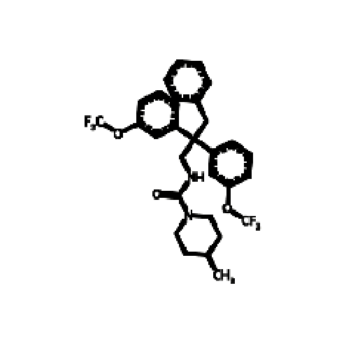 CC1CCN(C(=O)NCC(Cc2ccccc2)(c2cccc(OC(F)(F)F)c2)c2cccc(OC(F)(F)F)c2)CC1